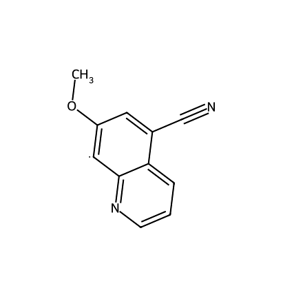 COc1[c]c2ncccc2c(C#N)c1